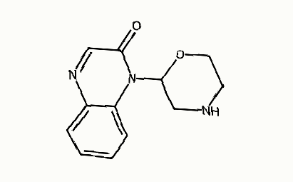 O=c1cnc2ccccc2n1C1CNCCO1